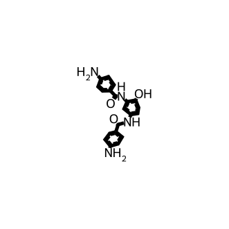 Nc1ccc(C(=O)Nc2ccc(O)c(NC(=O)c3ccc(N)cc3)c2)cc1